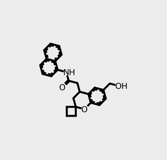 O=C(CC1CC2(CCC2)Oc2ccc(CO)cc21)Nc1cccc2ccccc12